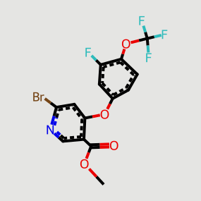 COC(=O)c1cnc(Br)cc1Oc1ccc(OC(F)(F)F)c(F)c1